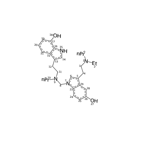 CCCN(CC)CCc1cn(CN(CCC)CCc2c[nH]c3c(O)cccc23)c2ccc(O)cc12